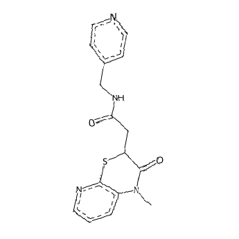 CN1C(=O)C(CC(=O)NCc2ccncc2)Sc2ncccc21